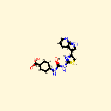 O=C(Nc1nc(-c2c[nH]c3ncccc23)cs1)NC1CCC(C(=O)O)CC1